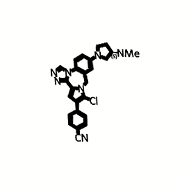 CN[C@H]1CCN(c2ccc3c(c2)Cn2c(cc(-c4ccc(C#N)cc4)c2Cl)-c2nncn2-3)C1